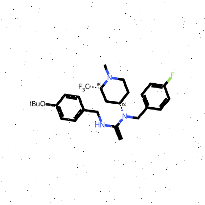 C=C(NCc1ccc(OCC(C)C)cc1)N(Cc1ccc(F)cc1)[C@H]1CCN(C)[C@@H](C(F)(F)F)C1